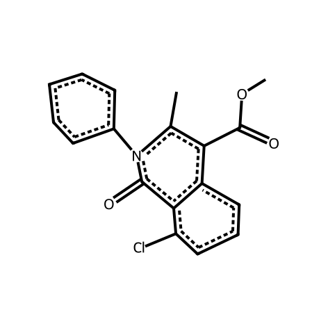 COC(=O)c1c(C)n(-c2ccccc2)c(=O)c2c(Cl)cccc12